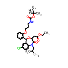 CCOC(=O)CC1OC(c2ccccc2OCCCNC(=O)OC(C)(C)C)c2cc(Cl)ccc2N(CC(C)C)C1=O